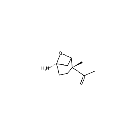 C=C(C)[C@@H]1CC[C@]2(N)CC1O2